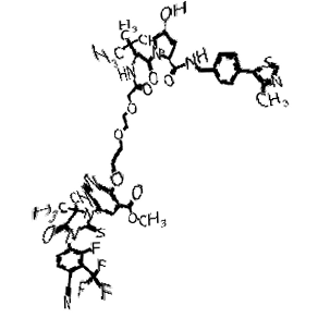 COC(=O)c1cc(N2C(=S)N(c3ccc(C#N)c(C(F)(F)F)c3F)C(=O)C2(C)C)cnc1OCCOCCOCC(=O)N[C@H](C(=O)N1C[C@H](O)C[C@H]1C(=O)NCc1ccc(-c2scnc2C)cc1)C(C)(C)C